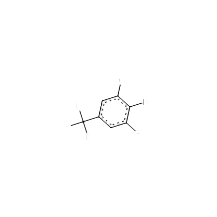 Fc1cc(C(F)(F)F)cc(Cl)c1Br